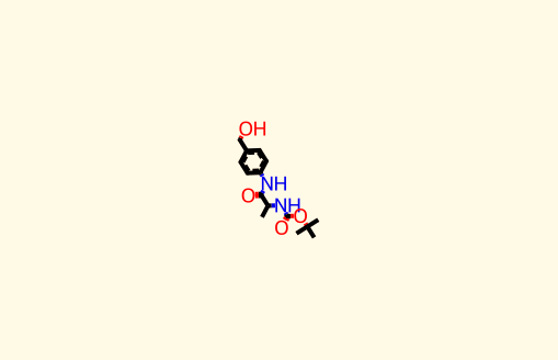 CC(NC(=O)OC(C)(C)C)C(=O)Nc1ccc(CO)cc1